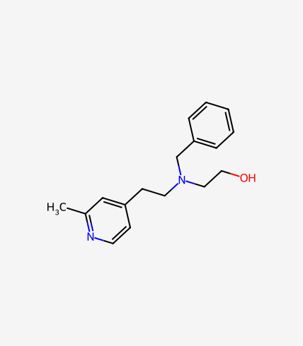 Cc1cc(CCN(CCO)Cc2ccccc2)ccn1